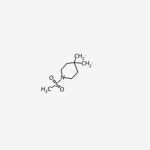 [CH2]C1([CH2])CCN(S(C)(=O)=O)CC1